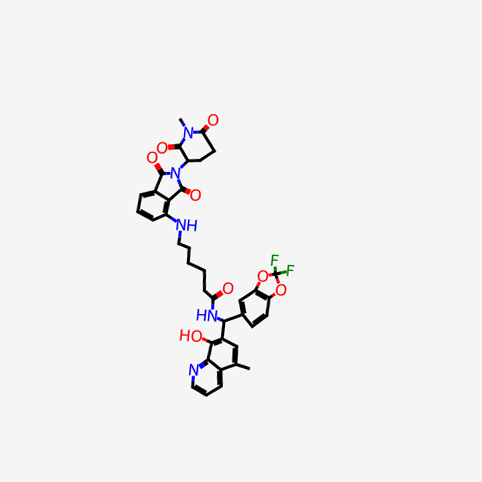 Cc1cc(C(NC(=O)CCCCCNc2cccc3c2C(=O)N(C2CCC(=O)N(C)C2=O)C3=O)c2ccc3c(c2)OC(F)(F)O3)c(O)c2ncccc12